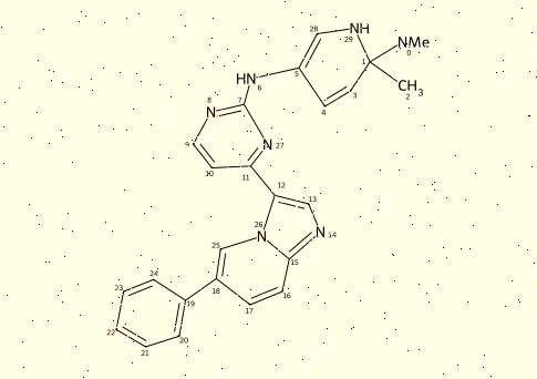 CNC1(C)C=CC(Nc2nccc(-c3cnc4ccc(-c5ccccc5)cn34)n2)=CN1